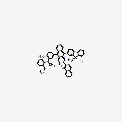 C=C/C=c1/c(-c2ccc(C)c(N(C)c3ccccc3C=C)c2)c2ccccc2c(-c2ccc3c(c2)C(C)(C)c2ccccc2-3)/c1=C/Cc1ccc2ccccc2c1